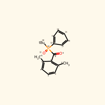 Cc1cccc(C)c1C(=O)P(=O)(c1ccccc1)C(C)(C)C